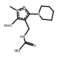 COc1c(CNC(=O)C(C)(C)C)c(N2CCCCC2)nn1C